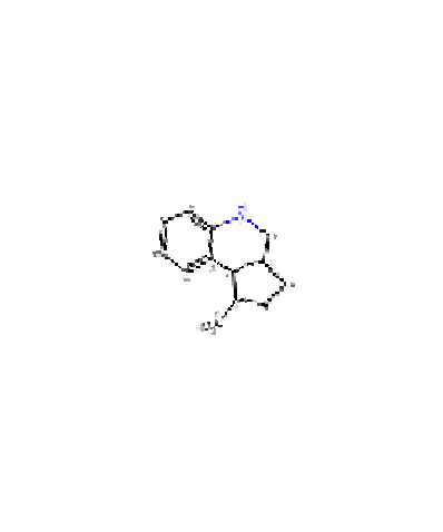 O=C(O)C1CCC2CNc3ccccc3C21